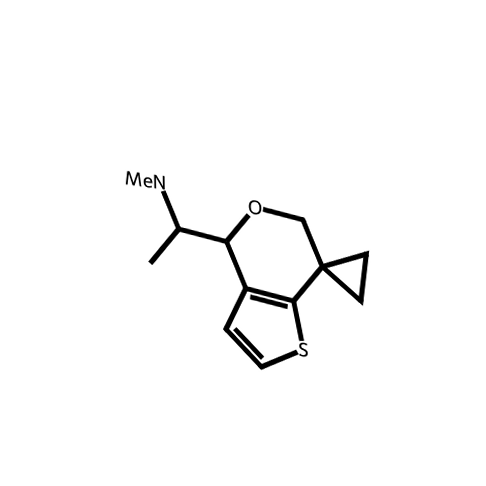 CNC(C)C1OCC2(CC2)c2sccc21